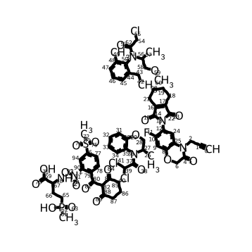 C#CCN1C(=O)COc2cc(F)c(N3C(=O)C4=C(CCCC4)C3=O)cc21.CC1COc2ccccc2N1C(=O)C(Cl)Cl.CCc1cccc(C)c1N(C(=O)CCl)C(C)COC.CP(=O)(O)CCC(N)C(=O)O.CS(=O)(=O)c1ccc(C(=O)C2C(=O)CCCC2=O)c([N+](=O)[O-])c1